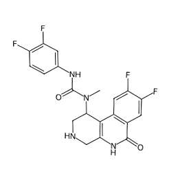 CN(C(=O)Nc1ccc(F)c(F)c1)C1CNCc2[nH]c(=O)c3cc(F)c(F)cc3c21